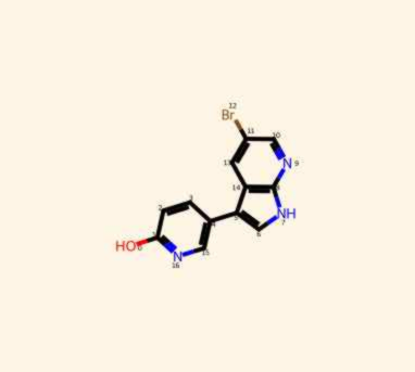 Oc1ccc(-c2c[nH]c3ncc(Br)cc23)cn1